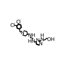 OCCNc1nccc(NCCNC2CCN(Cc3ccc(Cl)c(Cl)c3)CC2)n1